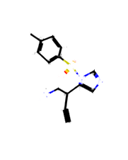 C#CC(CN)c1cncn1S(=O)(=O)c1ccc(C)cc1